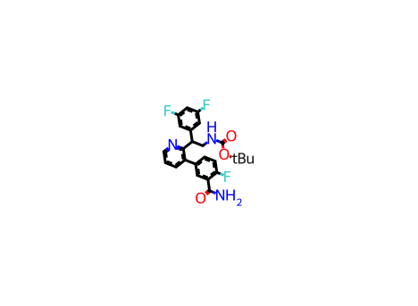 CC(C)(C)OC(=O)NCC(c1cc(F)cc(F)c1)c1ncccc1-c1ccc(F)c(C(N)=O)c1